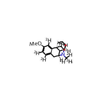 [2H]c1c([2H])c(OC)c([2H])c2c1C[C@H]1C3CCCC[C@@]23C([2H])([2H])C([2H])([2H])N1C([2H])([2H])[2H]